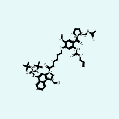 C=CCOC(=O)Nc1cc(OCCCCCC(=O)N2C[C@@H](CCl)c3c2cc(OP(=O)(OC(C)(C)C)OC(C)(C)C)c2ccccc32)c(OC)cc1C(=O)N1CCC[C@H]1COC(C)=O